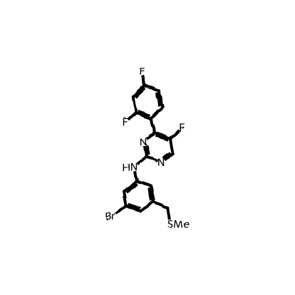 CSCc1cc(Br)cc(Nc2ncc(F)c(-c3ccc(F)cc3F)n2)c1